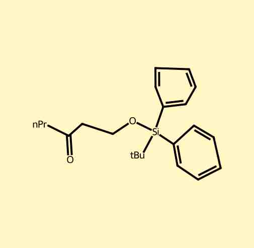 CCCC(=O)CCO[Si](c1ccccc1)(c1ccccc1)C(C)(C)C